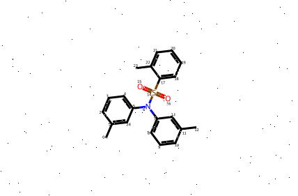 Cc1cccc(N(c2cccc(C)c2)S(=O)(=O)c2ccccc2C)c1